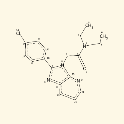 CCN(CC)C(=O)Cn1c(-c2ccc(Cl)cc2)nc2cccnc21